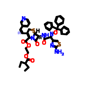 CCC(CC)C(=O)OCCOC(=O)C1=C(/C=C\c2cccnc2)CS[C@H]2[C@H](NC(=O)C(=NOC(c3ccccc3)(c3ccccc3)c3ccccc3)c3csc(N)n3)C(=O)N12